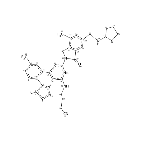 Cn1cnnc1-c1ccc(C(F)(F)F)cc1-c1cc(NCCCC#N)nc(N2Cc3c(cc(CNC4CCCC4)cc3C(F)(F)F)C2=O)c1